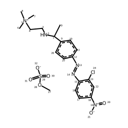 CC(NCC[N+](C)(C)C)c1ccc(N=Nc2ccc([N+](=O)[O-])cc2Cl)cc1.COS(=O)(=O)[O-]